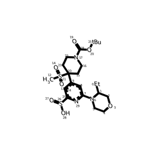 CCC1COCCN1c1cc(C2(S(C)(=O)=O)CCN(C(=O)OC(C)(C)C)CC2)cc(S(=O)O)n1